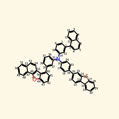 c1cc(-c2cccc3ccccc23)cc(N(c2ccc(-c3ccc4c(c3)sc3ccccc34)cc2)c2cccc(-c3cccc4oc5c6ccccc6ccc5c34)c2)c1